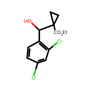 CCOC(=O)C1(C(O)c2ccc(Cl)cc2Cl)CC1